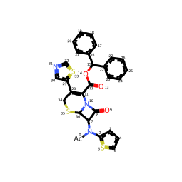 CC(=O)N(c1cccs1)C1C(=O)N2C(C(=O)OC(c3ccccc3)c3ccccc3)=C(c3cncs3)CSC12